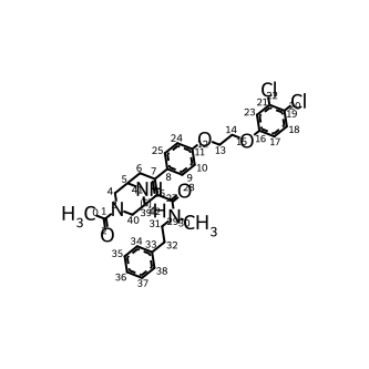 CC(=O)N1CC2CC(c3ccc(OCCOc4ccc(Cl)c(Cl)c4)cc3)=C(C(=O)N(C)CCc3ccccc3)[C@@H](C1)N2